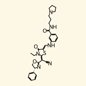 CCn1c(=C(C#N)C2=N[C@H](c3ccccc3)CO2)sc(=CNc2cccc(C(=O)NCCCN3CCCC3)c2)c1=O